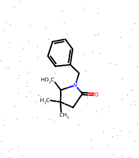 CC1(C)CC(=O)N(Cc2ccccc2)C1C(=O)O